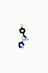 Clc1ccc(C2=CNN(c3cccnc3)S2)cc1